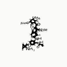 C=CC(=O)Nc1cc(OCC2(N)CC2)ccc1Nc1cc2c(NC)c(C(=O)c3c(F)c(OC)cc(OC)c3F)oc2cn1